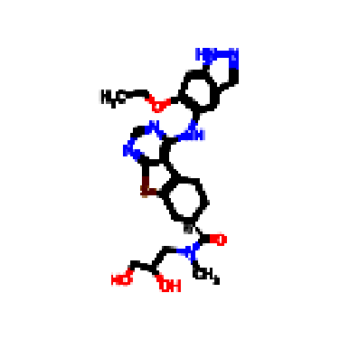 CCOc1cc2[nH]ncc2cc1Nc1ncnc2sc3c(c12)CC[C@H](C(=O)N(C)CC(O)CO)C3